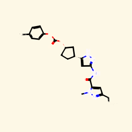 COCc1cc(C(=O)Nc2cc([C@H]3CC[C@@H](OC(=O)Oc4ccc([N+](=O)[O-])cc4)C3)[nH]n2)n(C)n1